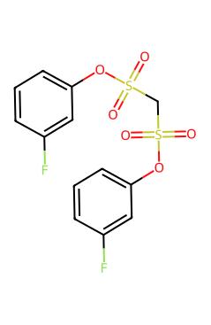 O=S(=O)(CS(=O)(=O)Oc1cccc(F)c1)Oc1cccc(F)c1